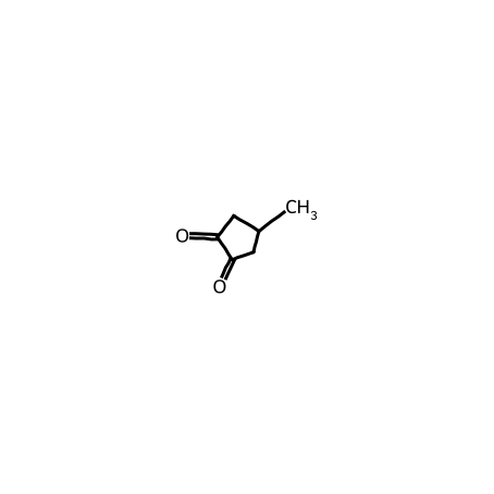 CC1CC(=O)C(=O)C1